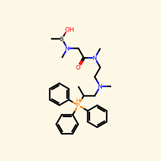 CB(O)N(C)CC(=O)N(C)CCN(C)CC(C)[PH](c1ccccc1)(c1ccccc1)c1ccccc1